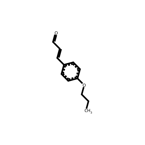 CCCOc1ccc(C=CC=O)cc1